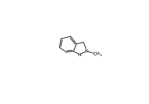 CN1Cc2ccccc2[N]1